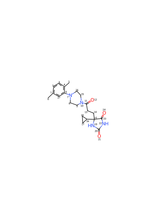 Cc1ccc(C)c(N2CCN(C(=O)CCC3(C4CC4)NC(=O)NC3=O)CC2)c1